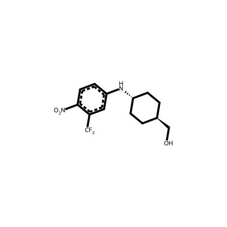 O=[N+]([O-])c1ccc(N[C@H]2CC[C@H](CO)CC2)cc1C(F)(F)F